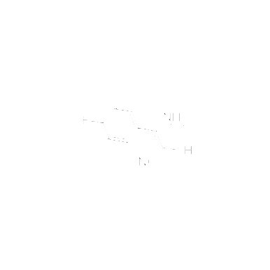 N#C/C(S)=C(/N)c1ccc(F)cc1